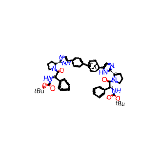 CC(C)(C)OC(=O)N[C@@H](C(=O)N1CCC[C@H]1c1ncc(-c2ccc(C34CCC(c5cnc([C@@H]6CCCN6C(=O)[C@H](NC(=O)OC(C)(C)C)c6ccccc6)[nH]5)(CC3)CC4)cc2)[nH]1)c1ccccc1